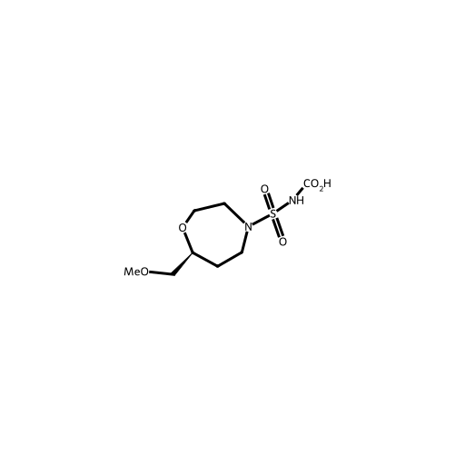 COC[C@@H]1CCN(S(=O)(=O)NC(=O)O)CCO1